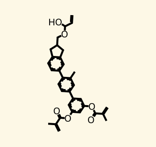 C=CC(O)OCC1Cc2ccc(-c3ccc(-c4cc(OC(=O)C(=C)C)cc(OC(=O)C(=C)C)c4)cc3C)cc2C1